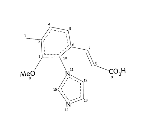 COc1c(C)ccc(C=CC(=O)O)c1-n1ccnc1